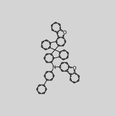 c1ccc(-c2ccc(N(c3ccc4oc5ccccc5c4c3)c3cccc4c3-c3ccccc3C43c4ccccc4-c4c3ccc3oc5ccccc5c43)cc2)cc1